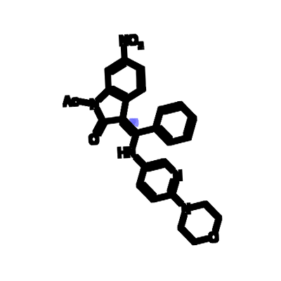 CC(=O)N1C(=O)/C(=C(\Nc2ccc(N3CCOCC3)nc2)c2ccccc2)c2ccc([N+](=O)[O-])cc21